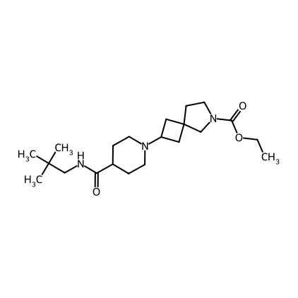 CCOC(=O)N1CCC2(CC(N3CCC(C(=O)NCC(C)(C)C)CC3)C2)C1